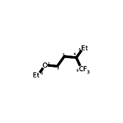 CCOCCC(CC)C(F)(F)F